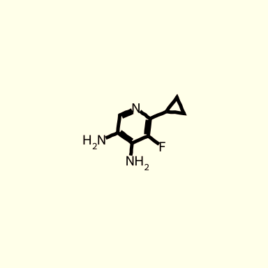 Nc1cnc(C2CC2)c(F)c1N